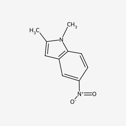 Cc1cc2cc([N+](=O)[O-])ccc2n1C